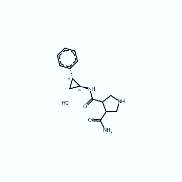 Cl.NC(=O)C1CNCC1C(=O)N[C@H]1C[C@@H]1c1ccccc1